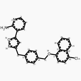 Nc1ncccc1-c1cc(Cc2ccc(COc3ccc(Cl)c4ccccc34)cc2)no1